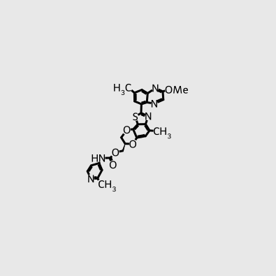 COc1cnc2c(-c3nc4c(C)cc5c(c4s3)OC[C@H](COC(=O)Nc3ccnc(C)c3)O5)cc(C)cc2n1